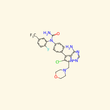 NC(=O)N(c1ccc(-c2c(Cl)c(CN3CCOCC3)n3ncnc(N)c23)cc1)c1cc(C(F)(F)F)ccc1F